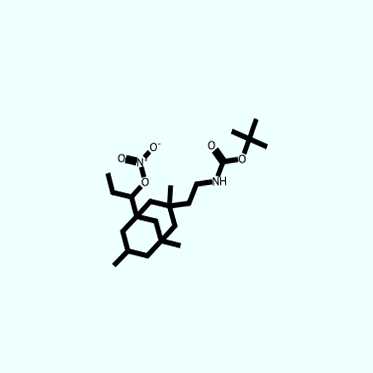 CCC(O[N+](=O)[O-])C12CC(C)CC(C)(CC(C)(CCNC(=O)OC(C)(C)C)C1)C2